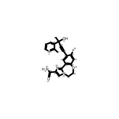 Cc1ncccc1C(C)(O)C#Cc1cc2c(cc1F)OCCn1cc(C(N)=O)nc1-2